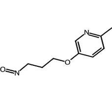 Cc1ccc(OCCCN=O)cn1